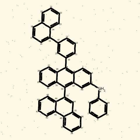 c1ccc([SiH2]c2ccc3c(-c4cccc(-c5cccc6ccccc56)c4)c4ccccc4c(-c4cc5ccccc5c5ccccc45)c3c2)cc1